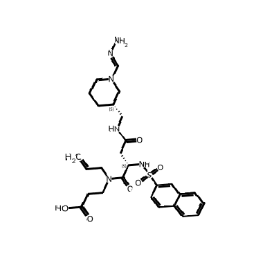 C=CCN(CCC(=O)O)C(=O)[C@H](CC(=O)NC[C@@H]1CCCN(C=NN)C1)NS(=O)(=O)c1ccc2ccccc2c1